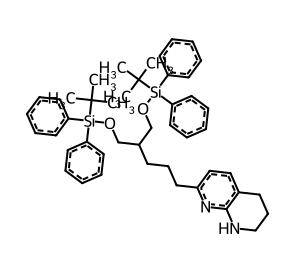 CC(C)(C)[Si](OCC(CCCc1ccc2c(n1)NCCC2)CO[Si](c1ccccc1)(c1ccccc1)C(C)(C)C)(c1ccccc1)c1ccccc1